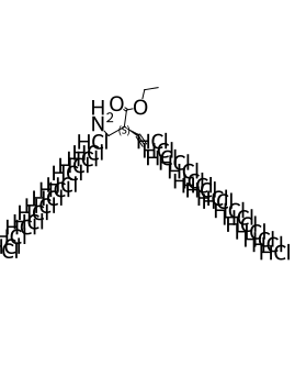 C#C[C@@H](CN)C(=O)OCC.Cl.Cl.Cl.Cl.Cl.Cl.Cl.Cl.Cl.Cl.Cl.Cl.Cl.Cl.Cl.Cl.Cl.Cl.Cl.Cl.Cl.Cl.Cl.Cl.Cl.Cl.Cl.Cl.Cl.Cl.Cl.Cl